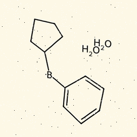 O.O.[B](c1ccccc1)C1CCCC1